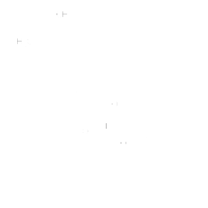 CC(C)c1ccc(OP(Oc2ccccc2)Oc2ccccc2)cc1